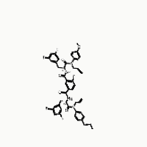 C=CCN(C(=O)[C@H](Cc1cc(F)cc(F)c1)NC(=O)c1ccc(F)c(C(=O)N[C@@H](Cc2cc(F)cc(F)c2)C(=O)N(CC=C)c2ccc(OC)cc2)c1)c1ccc(CCC)cc1